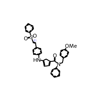 COc1ccc(CN(C(=O)C2=CC=C(Nc3ccc(/C=C/S(=O)(=O)c4ccccc4)cc3)C2)c2ccccc2)cc1